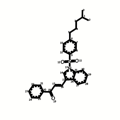 CC(C)CCCc1ccc(S(=O)(=O)n2cc(/C=C/C(=O)c3ccccc3)c3ccccc32)cc1